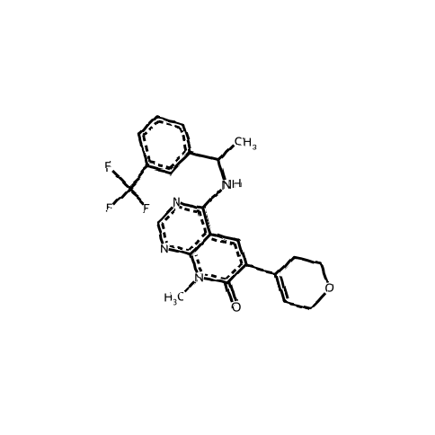 CC(Nc1ncnc2c1cc(C1=CCOCC1)c(=O)n2C)c1cccc(C(F)(F)F)c1